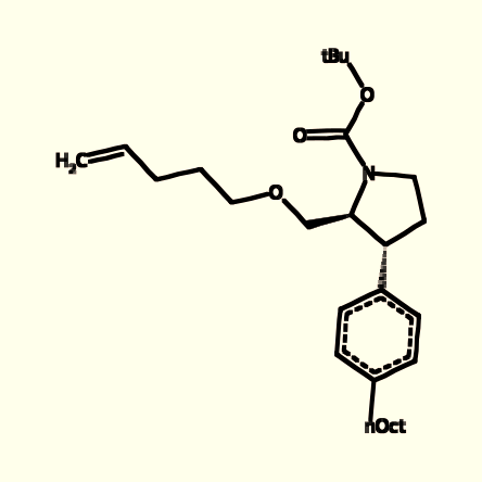 C=CCCCOC[C@@H]1[C@@H](c2ccc(CCCCCCCC)cc2)CCN1C(=O)OC(C)(C)C